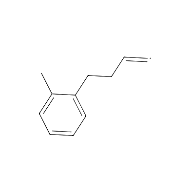 [CH]=CCCc1ccccc1C